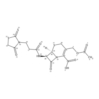 CC(=O)OCC1=C(C(=O)O)N2C(=O)[C@@H](NC(=O)CCN3C(=O)CSC3=S)[C@H]2SC1